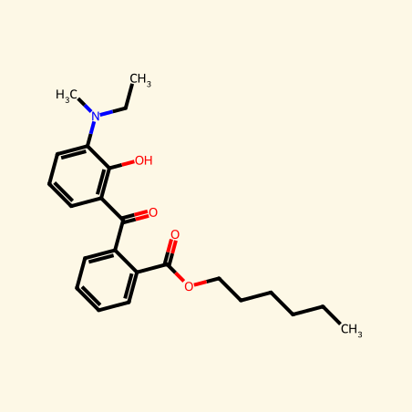 CCCCCCOC(=O)c1ccccc1C(=O)c1cccc(N(C)CC)c1O